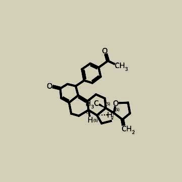 C=C1CCO[C@@]12CC[C@H]1[C@@H]3CCC4=CC(=O)CC(c5ccc(C(C)=O)cc5)C4=C3CC[C@@]12C